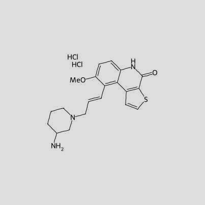 COc1ccc2[nH]c(=O)c3sccc3c2c1C=CCN1CCCC(N)C1.Cl.Cl